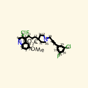 COc1ccc2ncc(Cl)c(C(F)CCC3(C(=O)O)CCN(CC#Cc4cc(F)cc(Cl)c4)CC3)c2c1